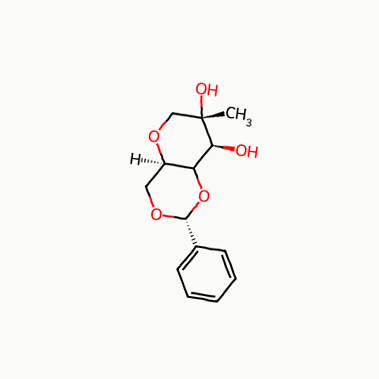 C[C@]1(O)CO[C@@H]2CO[C@@H](c3ccccc3)OC2[C@@H]1O